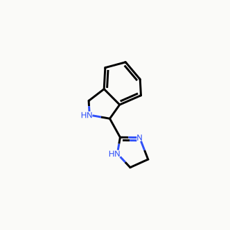 c1ccc2c(c1)CNC2C1=NCCN1